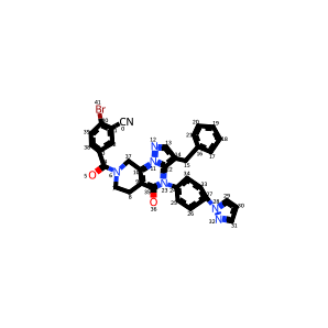 N#Cc1cc(C(=O)N2CCc3c(n4ncc(Cc5ccccc5)c4n(-c4ccc(-n5cccn5)cc4)c3=O)C2)ccc1Br